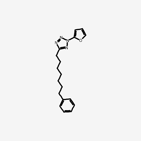 c1ccc(CCCCCCCc2nnn(-c3ccco3)n2)cc1